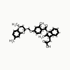 Cc1ccc2c(c1)O[C@H](COc1ccc(C(=O)n3c(C)c(CC(=O)O)c4ccccc43)c(C)c1)CN2C